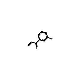 C=CC(=O)c1cccc(F)c1